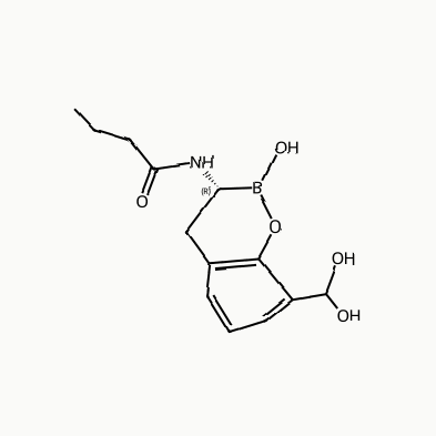 CCCC(=O)N[C@H]1Cc2cccc(C(O)O)c2OB1O